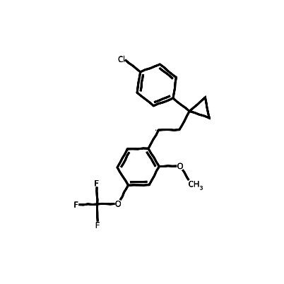 COc1cc(OC(F)(F)F)ccc1[CH]CC1(c2ccc(Cl)cc2)CC1